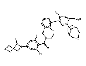 CC1N(c2cc(Cl)c(C(=O)N3COc4c(cccc4-c4cc(N5C6CCC5COC6)c(C(=O)O)cc4F)C3)c(Cl)c2)CC12CCC2